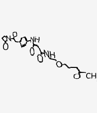 CCC(=O)CCCOCCNC(=O)CC(=O)Nc1ccc(CC(=O)N2CCC2=O)cc1